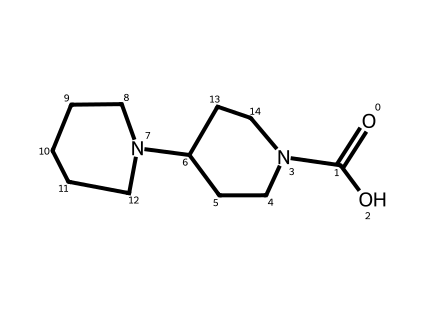 O=C(O)N1CCC(N2CCCCC2)CC1